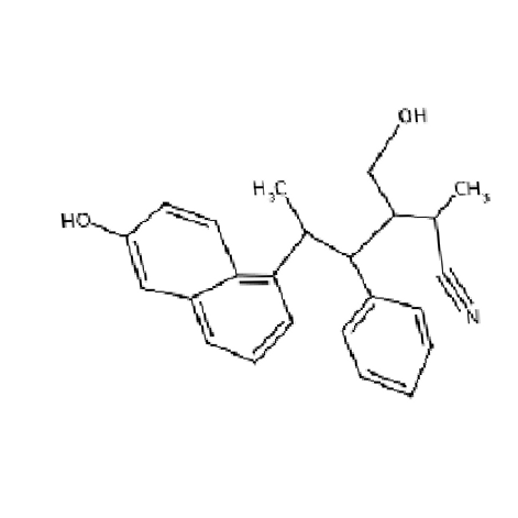 CC(C#N)C(CO)C(c1ccccc1)C(C)c1cccc2cc(O)ccc12